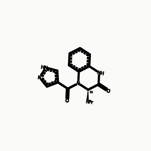 CCC[C@H]1C(=O)Nc2ccccc2N1C(=O)c1cn[nH]c1